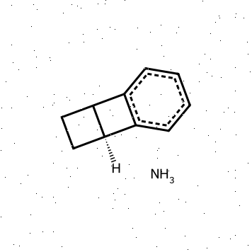 N.c1ccc2c(c1)C1CC[C@H]21